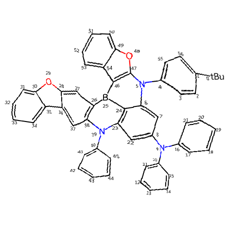 CC(C)(C)c1ccc(N2c3cc(N(c4ccccc4)c4ccccc4)cc4c3B(c3cc5oc6ccccc6c5cc3N4c3ccccc3)c3c2oc2ccccc32)cc1